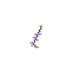 CC(C)(C)OC(=O)NCCC(=O)NCC(=O)NCCCCC1SS1